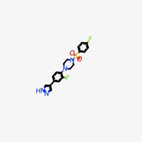 O=S(=O)(c1ccc(F)cc1)N1CCN(c2ccc(-c3cn[nH]c3)cc2F)CC1